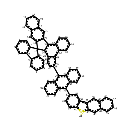 c1ccc2c(c1)-c1ccccc1C21c2cc3ccccc3cc2-c2c1c1ccc(-c3c4ccccc4c(-c4ccc5sc6cc7ccccc7cc6c5c4)c4ccccc34)cc1c1ccccc21